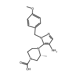 COc1ccc(Cn2ncc(N)c2N2CCN(C(=O)O)C[C@H]2C)cc1